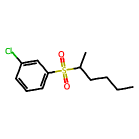 CCCCC(C)S(=O)(=O)c1cccc(Cl)c1